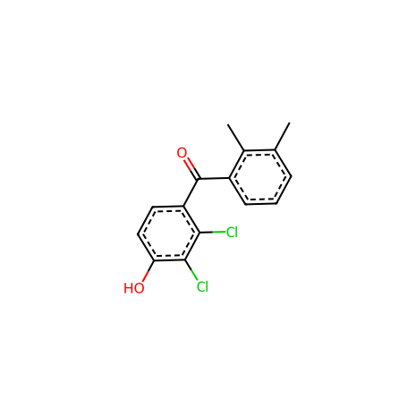 Cc1cccc(C(=O)c2ccc(O)c(Cl)c2Cl)c1C